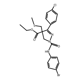 CCOC(=O)C1(CSC)CN(C(=O)Nc2ccc(Br)cc2)N=C1c1ccc(Cl)cc1